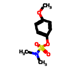 COc1ccc(OS(=O)(=O)N(C)C)cc1